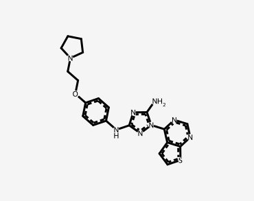 Nc1nc(Nc2ccc(OCCN3CCCC3)cc2)nn1-c1ncnc2sccc12